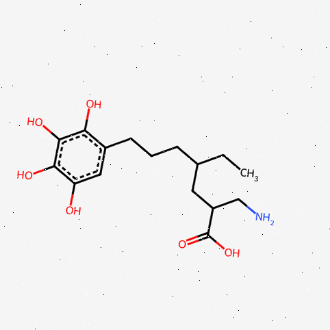 CCC(CCCc1cc(O)c(O)c(O)c1O)CC(CN)C(=O)O